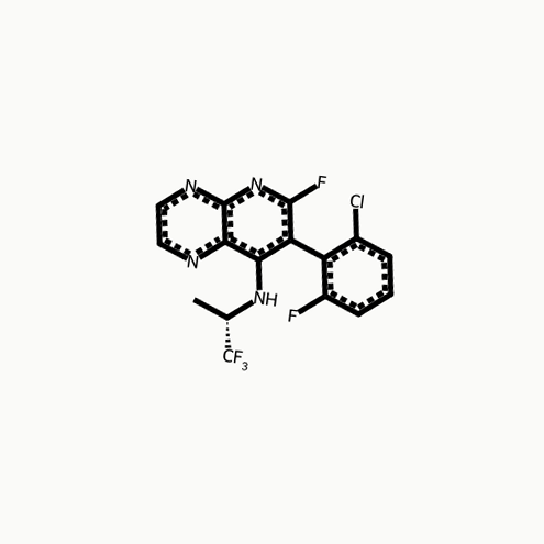 C[C@H](Nc1c(-c2c(F)cccc2Cl)c(F)nc2nccnc12)C(F)(F)F